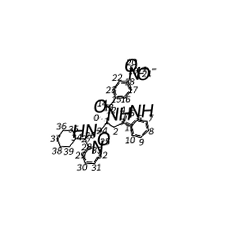 C[C@@](Cc1c[nH]c2ccccc12)(NC(=O)c1ccc([N+](=O)[O-])cc1)C(=O)NC(c1ccccn1)C1CCCCC1